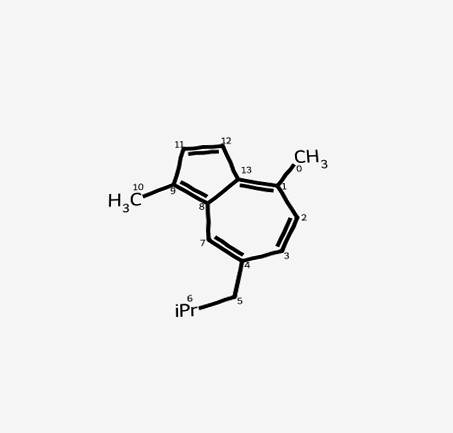 Cc1ccc(CC(C)C)cc2c(C)ccc1-2